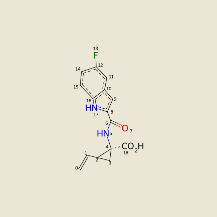 C=CC1C[C@@]1(NC(=O)c1cc2cc(F)ccc2[nH]1)C(=O)O